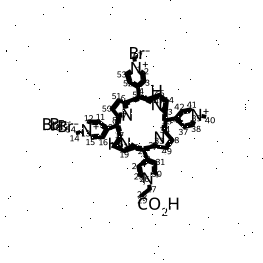 C[n+]1ccc(-c2c3nc(c(-c4cc[n+](C)cc4)c4ccc([nH]4)c(-c4cc[n+](CCC(=O)O)cc4)c4nc(c(-c5cc[n+](C)cc5)c5ccc2[nH]5)C=C4)C=C3)cc1.[Br-].[Br-].[Br-].[Br-]